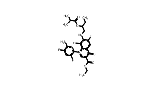 CCOC(=O)c1cn(-c2nc(N)c(F)cc2F)c2c(Cl)c(NCC(CC)OC(=O)C(C)C)c(F)cc2c1=O